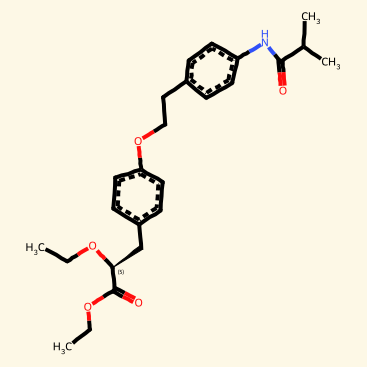 CCOC(=O)[C@H](Cc1ccc(OCCc2ccc(NC(=O)C(C)C)cc2)cc1)OCC